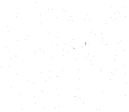 CCOc1nc(Nc2cnn([C@@H]3CCN(C4COC4)C[C@@H]3F)c2Cl)nc2[nH]ccc12